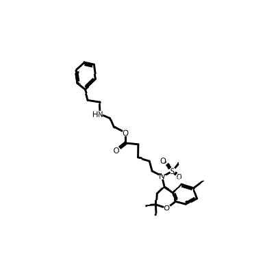 Cc1ccc2c(c1)C(N(CCCCC(=O)OCCNCCc1ccccc1)S(C)(=O)=O)CC(C)(C)O2